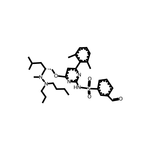 CCCCN(CCC)N(C)[C@@H](COc1cc(-c2c(C)cccc2C)nc(NS(=O)(=O)c2cccc(C=O)c2)n1)CC(C)C